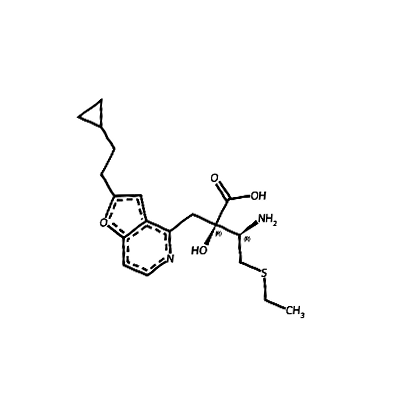 CCSC[C@H](N)[C@](O)(Cc1nccc2oc(CCC3CC3)cc12)C(=O)O